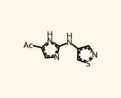 CC(=O)c1cnc(Nc2cnsc2)[nH]1